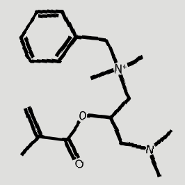 C=C(C)C(=O)OC(CN(C)C)C[N+](C)(C)Cc1ccccc1